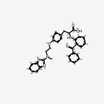 CN(CCOc1ccc(CC(Nc2ccccc2C(=O)c2ccccc2)C(=O)O)cc1)c1nc2ccccc2o1